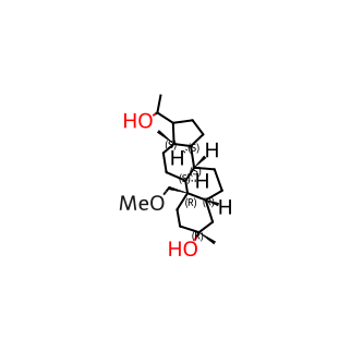 COC[C@]12CC[C@@](C)(O)C[C@H]1CC[C@@H]1[C@@H]2CC[C@]2(C)C(C(C)O)CC[C@@H]12